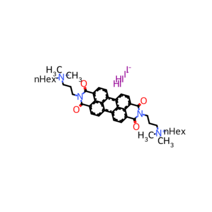 CCCCCC[N+](C)(C)CCCN1C(=O)c2ccc3c4ccc5c6c(ccc(c7ccc(c2c37)C1=O)c64)C(=O)N(CCC[N+](C)(C)CCCCCC)C5=O.I.I.[I-].[I-]